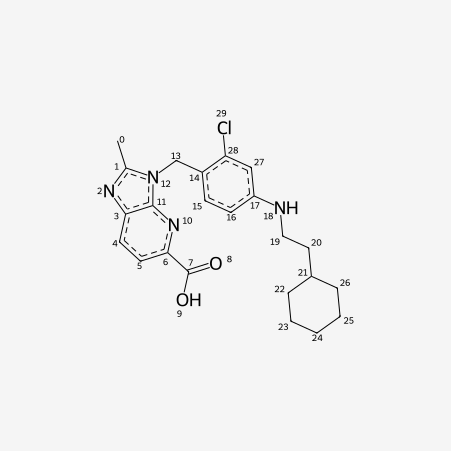 Cc1nc2ccc(C(=O)O)nc2n1Cc1ccc(NCCC2CCCCC2)cc1Cl